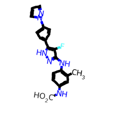 Cc1cc(NC(=O)O)ccc1Nc1n[nH]c(-c2ccc(-n3cccn3)cc2)c1F